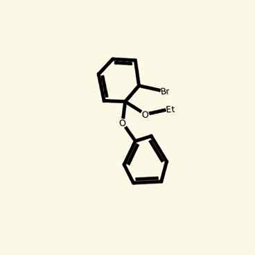 CCOC1(Oc2ccccc2)C=CC=CC1Br